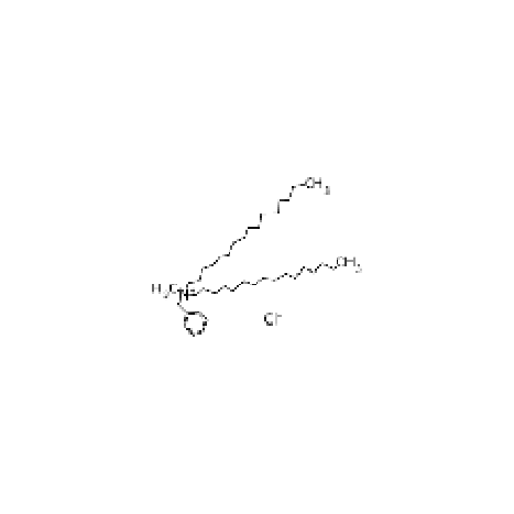 CCCCCCCCCCCCCCCC[N+](C)(CCCCCCCCCCCCCCCC)Cc1ccccc1.[Cl-]